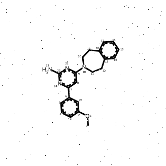 COc1cccc(-c2cc(N3CCc4ccccc4CC3)nc(N)n2)c1